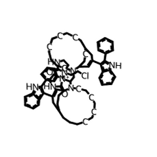 O=C1NCC[N+]1(CCCl)[N+]1(C(CN2CCCCCCCCCCC3CCC2C=C(c2c(-c4ccccc4)[nH]c4ccccc24)C3)N2CCCCCCCCCCC3CCC2C=C(c2c(-c4ccccc4)[nH]c4ccccc24)C3)CCNC1=O